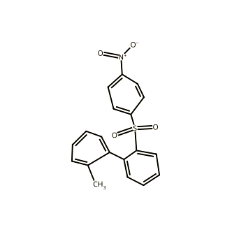 Cc1ccccc1-c1ccccc1S(=O)(=O)c1ccc([N+](=O)[O-])cc1